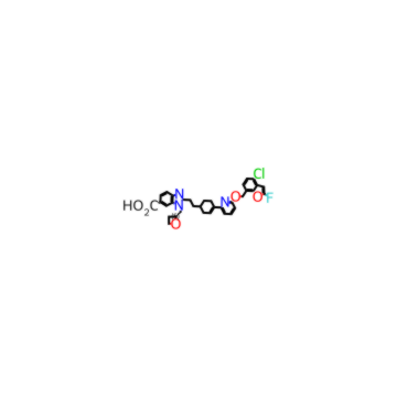 O=C(O)c1ccc2nc(CCC3CC=C(c4cccc(OCc5ccc(Cl)c6cc(F)oc56)n4)CC3)n(C[C@@H]3CCO3)c2c1